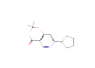 CC1(C)OC(=O)c2cnc(C3CCCC3)cc2O1